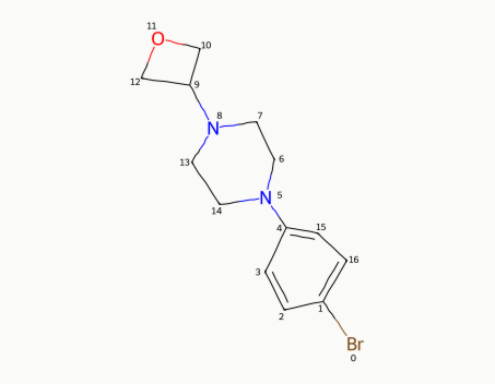 Brc1ccc(N2CCN(C3COC3)CC2)cc1